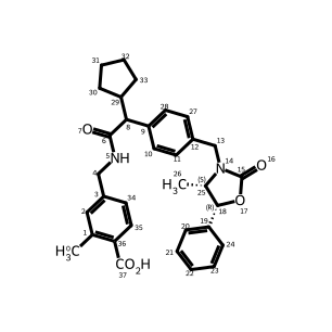 Cc1cc(CNC(=O)C(c2ccc(CN3C(=O)O[C@H](c4ccccc4)[C@@H]3C)cc2)C2CCCC2)ccc1C(=O)O